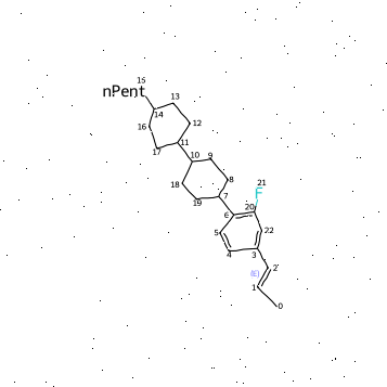 C/C=C/c1ccc(C2CCC(C3CCC(CCCCC)CC3)CC2)c(F)c1